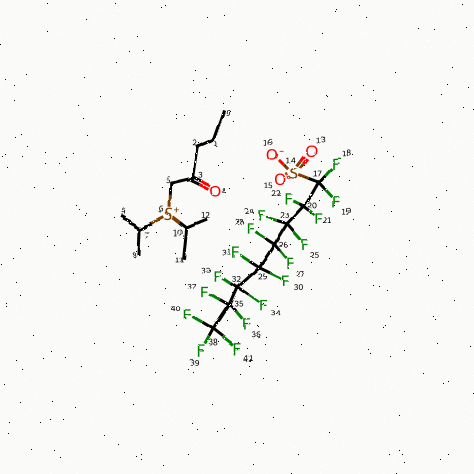 CCCC(=O)C[S+](C(C)C)C(C)C.O=S(=O)([O-])C(F)(F)C(F)(F)C(F)(F)C(F)(F)C(F)(F)C(F)(F)C(F)(F)C(F)(F)F